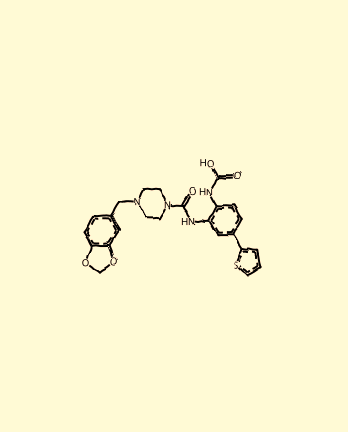 O=C(O)Nc1ccc(-c2cccs2)cc1NC(=O)N1CCN(Cc2ccc3c(c2)OCO3)CC1